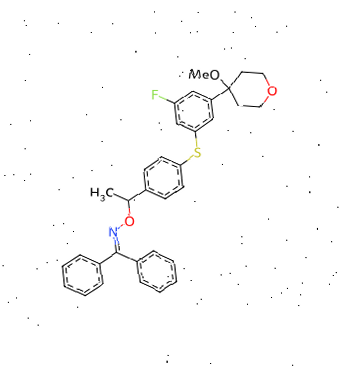 COC1(c2cc(F)cc(Sc3ccc(C(C)ON=C(c4ccccc4)c4ccccc4)cc3)c2)CCOCC1